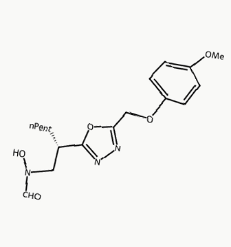 CCCCC[C@@H](CN(O)C=O)c1nnc(COc2ccc(OC)cc2)o1